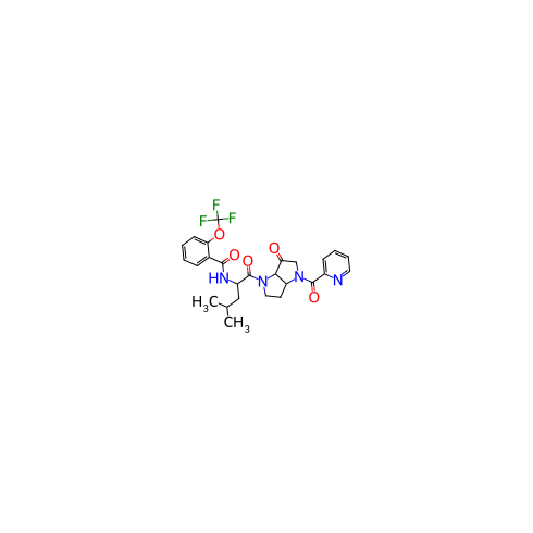 CC(C)CC(NC(=O)c1ccccc1OC(F)(F)F)C(=O)N1CCC2C1C(=O)CN2C(=O)c1ccccn1